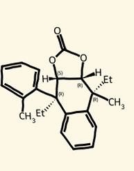 CC[C@@]1(c2ccccc2C)c2ccccc2[C@@](C)(CC)[C@H]2OC(=O)O[C@H]21